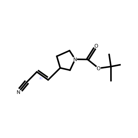 CC(C)(C)OC(=O)N1CCC(/C=C/C#N)C1